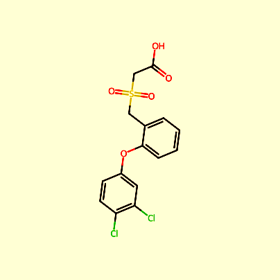 O=C(O)CS(=O)(=O)Cc1ccccc1Oc1ccc(Cl)c(Cl)c1